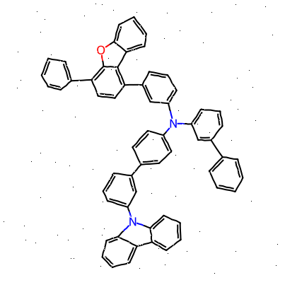 c1ccc(-c2cccc(N(c3ccc(-c4cccc(-n5c6ccccc6c6ccccc65)c4)cc3)c3cccc(-c4ccc(-c5ccccc5)c5oc6ccccc6c45)c3)c2)cc1